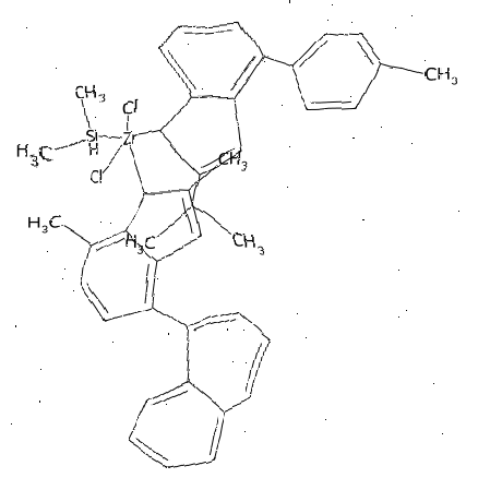 CC1=Cc2c(-c3cccc4ccccc34)ccc(C)c2[CH]1[Zr]([Cl])([Cl])([CH]1C(C(C)C)=Cc2c(-c3ccc(C)cc3)cccc21)[SiH](C)C